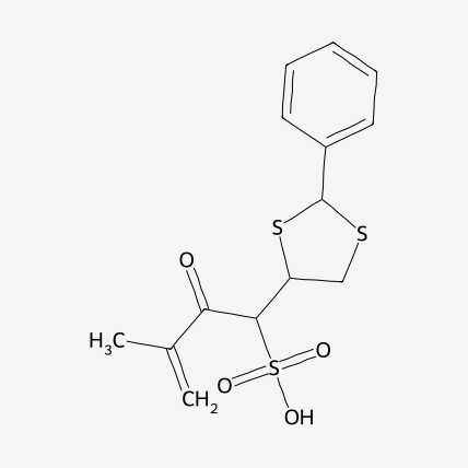 C=C(C)C(=O)C(C1CSC(c2ccccc2)S1)S(=O)(=O)O